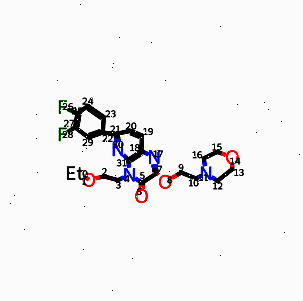 CCOCCn1c(=O)c(OCCN2CCOCC2)nc2ccc(-c3ccc(F)c(F)c3)nc21